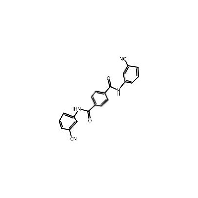 N#Cc1cccc(NC(=O)c2ccc(C(=O)Nc3cccc(C#N)c3)cc2)c1